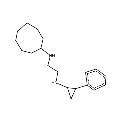 c1ccc(C2CC2NCCNC2CCCCCCC2)cc1